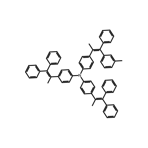 CC(=C(c1ccccc1)c1ccccc1)c1ccc(N(c2ccc(C(C)=C(c3ccccc3)c3ccccc3)cc2)c2ccc(/C(C)=C(/c3ccccc3)c3cccc(C)c3)cc2)cc1